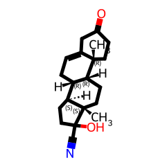 C[C@]12CCC(=O)CC1=CC[C@@H]1[C@H]2CC[C@@]2(C)[C@H]1CCC2(O)C#N